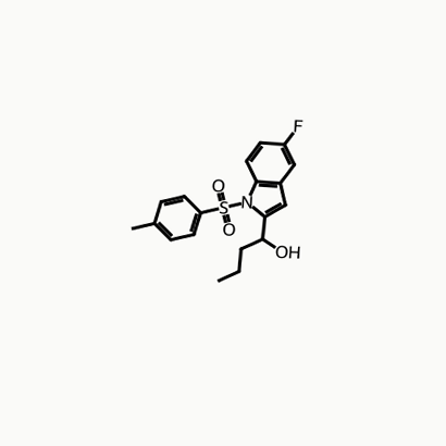 CCCC(O)c1cc2cc(F)ccc2n1S(=O)(=O)c1ccc(C)cc1